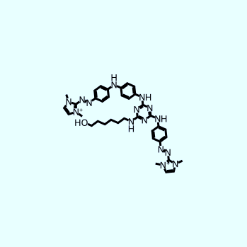 Cn1cc[n+](C)c1/N=N/c1ccc(Nc2ccc(Nc3nc(NCCCCCCO)nc(Nc4ccc(/N=N/c5n(C)cc[n+]5C)cc4)n3)cc2)cc1